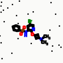 CN(C)C1CC(Oc2ncc(Br)cc2NS(=O)(=O)c2ccccc2)C1